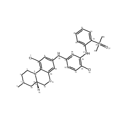 CN1CCN2c3c(Cl)cc(Nc4ncc(Cl)c(Nc5ccccc5P(C)(C)=O)n4)cc3OC[C@@H]2C1